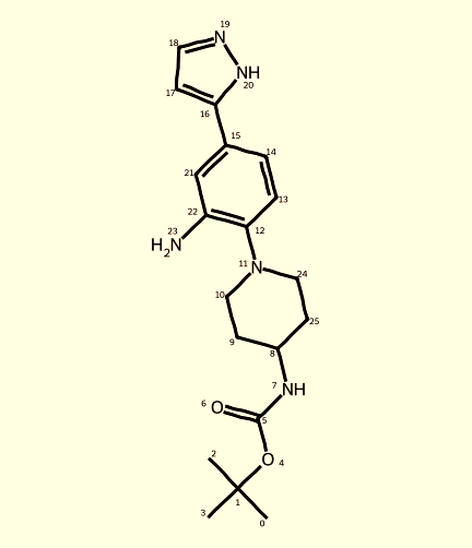 CC(C)(C)OC(=O)NC1CCN(c2ccc(-c3ccn[nH]3)cc2N)CC1